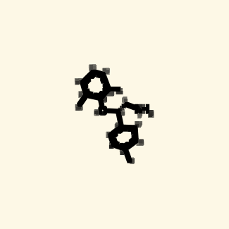 Cc1ccc([C@@H](CN)Oc2c(C)cccc2C)cc1